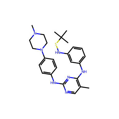 Cc1cnc(Nc2ccc(N3CCN(C)CC3)cc2)nc1Nc1cccc(NSC(C)(C)C)c1